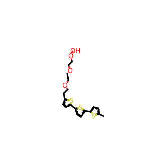 Cc1ccc(-c2ccc(-c3ccc(CCOCCOCCOO)s3)s2)s1